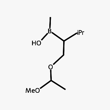 COC(C)OCC(B(C)O)C(C)C